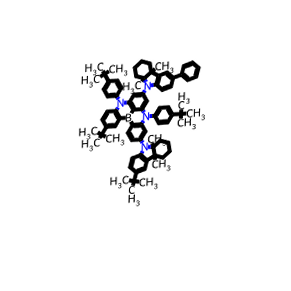 CC(C)(C)c1ccc(N2c3ccc(C(C)(C)C)cc3B3c4ccc(N5c6ccc(C(C)(C)C)cc6C6(C)CCCCC56C)cc4N(c4ccc(C(C)(C)C)cc4)c4cc(N5c6ccc(-c7ccccc7)cc6C6(C)CCCCC56C)cc2c43)cc1